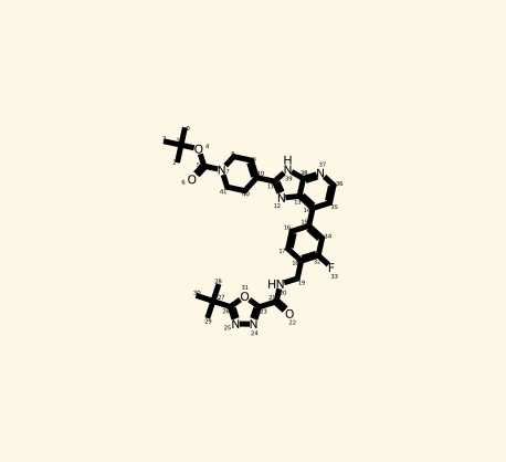 CC(C)(C)OC(=O)N1CC=C(c2nc3c(-c4ccc(CNC(=O)c5nnc(C(C)(C)C)o5)c(F)c4)ccnc3[nH]2)CC1